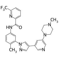 Cc1ccc(NC(=O)c2cccc(C(F)(F)F)n2)cc1-n1cc(-c2cncc(N3CCN(C)CC3)c2)cn1